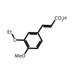 CCOc1cc(/C=C/C(=O)O)ccc1OC